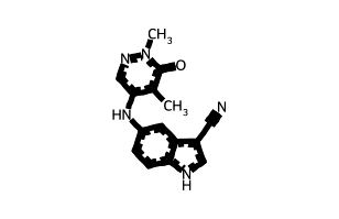 Cc1c(Nc2ccc3[nH]cc(C#N)c3c2)cnn(C)c1=O